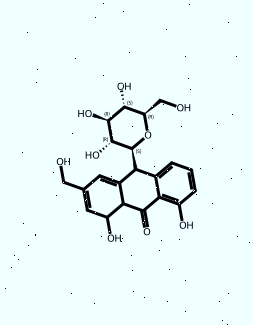 O=C1c2c(O)cccc2C([C@@H]2O[C@H](CO)[C@@H](O)[C@H](O)[C@H]2O)C2=CC(CO)=CC(O)C12